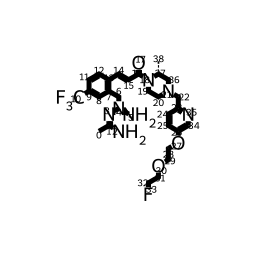 C/C(N)=N/N(N)Cc1cc(C(F)(F)F)ccc1/C=C/C(=O)N1CCN(Cc2ccc(OCCOCCF)cn2)C[C@H]1C